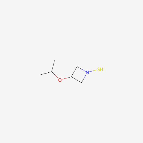 CC(C)OC1CN(S)C1